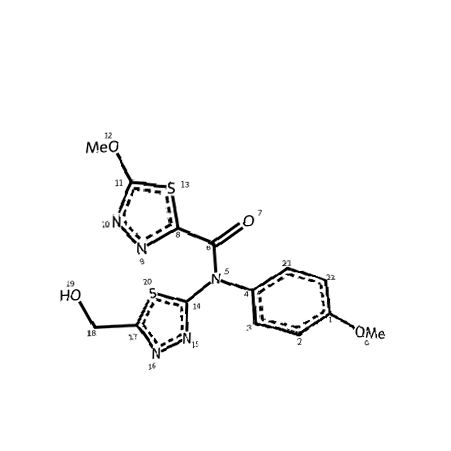 COc1ccc(N(C(=O)c2nnc(OC)s2)c2nnc(CO)s2)cc1